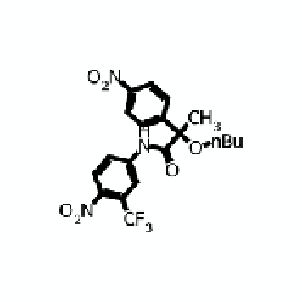 CCCCOC(C)(C(=O)Nc1ccc([N+](=O)[O-])c(C(F)(F)F)c1)c1ccc([N+](=O)[O-])cc1